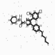 CCCCCc1ccc(-c2cn(C(=O)NN3CCCCC3)nc2-c2ccc(Cl)cc2Cl)cc1